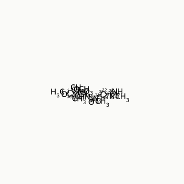 COc1cc(C)c(S(=O)(=O)N(C)CC(=O)NCC(=O)N(C)Cc2ccc(-c3c[nH]c(C)n3)cc2)c(C)c1